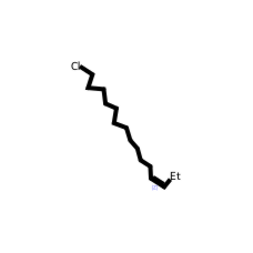 CC/C=C\CCCCCCCCCCCCl